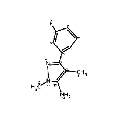 Cc1c(-c2cccc(F)c2)nn(C)c1N